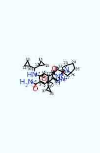 Cc1cc(C(N)=O)c(NC(C2CC2)C2CC2)cc1C(=O)NC1CC2CCC(C1)N2c1ccc(C(=O)C2CC2)cn1